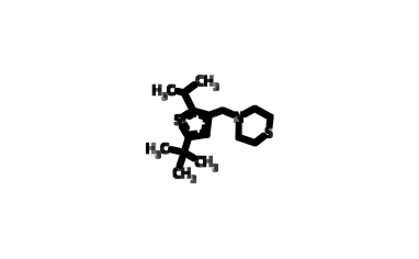 CC(C)c1sc(C(C)(C)C)cc1CN1CCSCC1